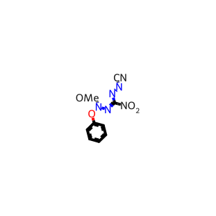 CON(N=C(N=NC#N)[N+](=O)[O-])Oc1ccccc1